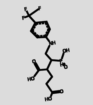 O=C(O)CCC(C(=O)O)C(CNc1ccc(C(F)(F)F)cc1)[PH](=O)O